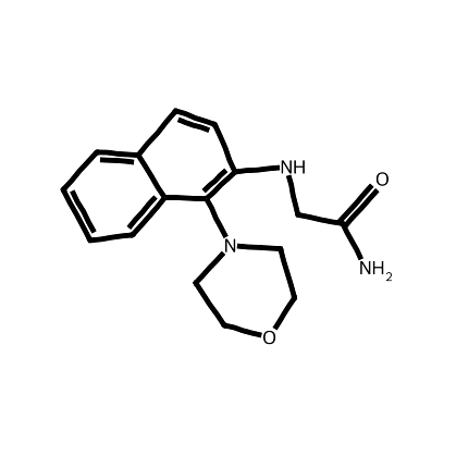 NC(=O)CNc1ccc2ccccc2c1N1CCOCC1